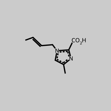 CC=CCn1cc(C)nc1C(=O)O